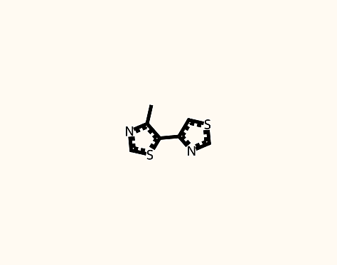 Cc1ncsc1-c1cscn1